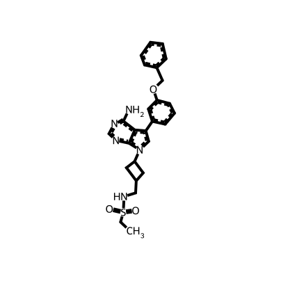 CCS(=O)(=O)NCC1CC(n2cc(-c3cccc(OCc4ccccc4)c3)c3c(N)ncnc32)C1